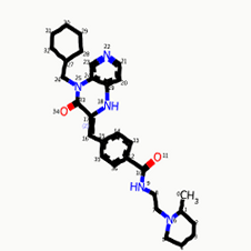 CC1CCCCN1CCNC(=O)c1ccc(/C=C2\Nc3ccncc3N(CC3CCCCC3)C2=O)cc1